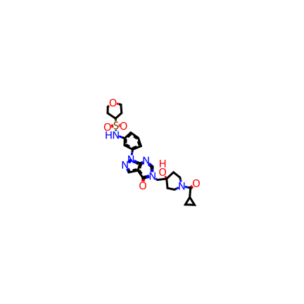 O=C(C1CC1)N1CCC(O)(Cn2cnc3c(cnn3-c3cccc(NS(=O)(=O)C4CCOCC4)c3)c2=O)CC1